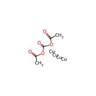 CC(=O)OC(=O)OC(C)=O.[Cu].[Cu].[Cu].[Cu]